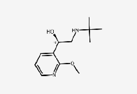 COc1ncccc1[C@@H](O)CNC(C)(C)C